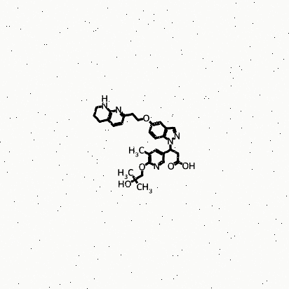 Cc1cc(C(CC(=O)O)n2ncc3cc(OCCc4ccc5c(n4)NCCC5)ccc32)cnc1OCC(C)(C)O